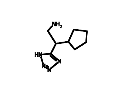 NCC(c1nnn[nH]1)C1CCCC1